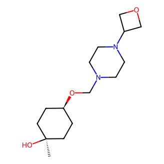 C[C@]1(O)CC[C@@H](OCN2CCN(C3COC3)CC2)CC1